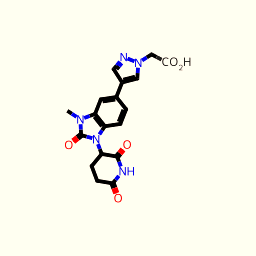 Cn1c(=O)n(C2CCC(=O)NC2=O)c2ccc(-c3cnn(CC(=O)O)c3)cc21